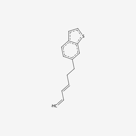 [CH]=CC=CCCc1ccc2ccsc2c1